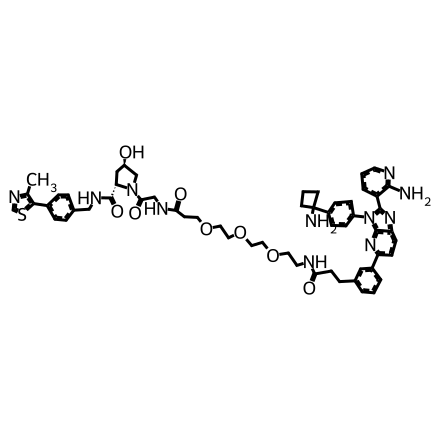 Cc1ncsc1-c1ccc(CNC(=O)[C@@H]2C[C@@H](O)CN2C(=O)CNC(=O)CCOCCOCCOCCNC(=O)CCc2cccc(-c3ccc4nc(-c5cccnc5N)n(-c5ccc(C6(N)CCC6)cc5)c4n3)c2)cc1